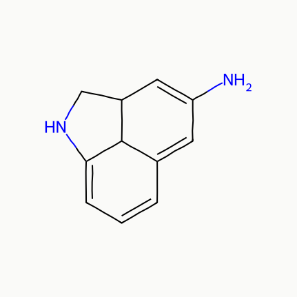 NC1=CC2CNC3=CC=CC(=C1)C32